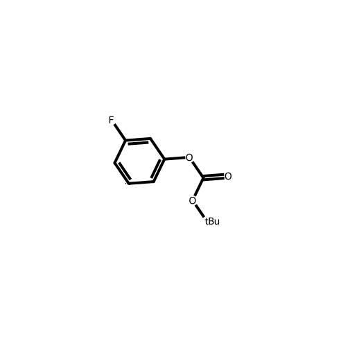 CC(C)(C)OC(=O)Oc1c[c]cc(F)c1